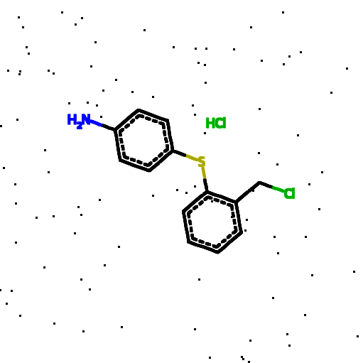 Cl.Nc1ccc(Sc2ccccc2CCl)cc1